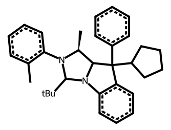 Cc1ccccc1N1C(C(C)(C)C)N2c3ccccc3C(c3ccccc3)(C3CCCC3)C2[C@@H]1C